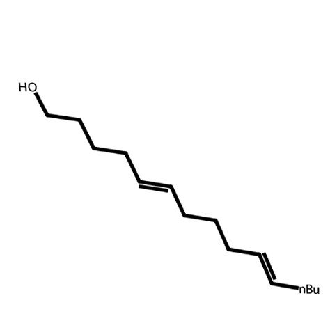 CCCC/C=C/CCC/C=C/CCCCO